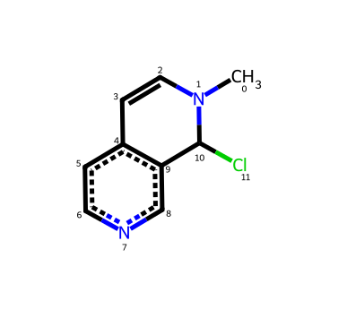 CN1C=Cc2ccncc2C1Cl